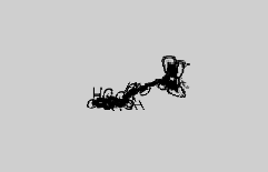 C[C@]12C=CC(=O)C=C1CC[C@H]1[C@@H]3C[C@@H](O)[C@](O)(C(=O)COC(=O)CNC(=O)CCCC(CO[N+](=O)[O-])O[N+](=O)[O-])[C@@]3(C)C[C@H](O)[C@@]12F